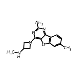 CNC1CN(c2nc(N)nc3c2oc2cc(C)ccc23)C1